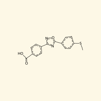 CSc1ccc(-c2nc(-c3ccc(C(=O)O)cc3)no2)cc1